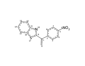 C=C(c1ccc([N+](=O)[O-])cc1)c1nc2ccccc2s1